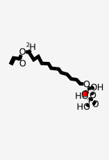 [2H]C(CCCCCCCCCCCOP(=O)(O)OP(=O)(O)O)OC(=O)C=C